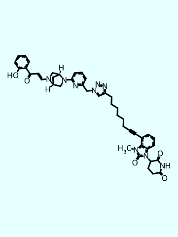 Cn1c(=O)n(C2CCC(=O)NC2=O)c2cccc(C#CCCCCCCc3cn(Cc4cccc(N5C[C@H]6C[C@@H]5CN6/C=C/C(=O)c5ccccc5O)n4)nn3)c21